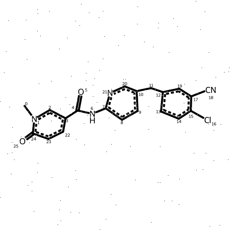 Cn1cc(C(=O)Nc2ccc(Cc3ccc(Cl)c(C#N)c3)cn2)ccc1=O